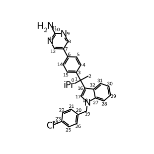 CC(C)C(C)(c1ccc(-c2cnc(N)nc2)cc1)c1cn(Cc2ccc(Cl)cc2)c2ccccc12